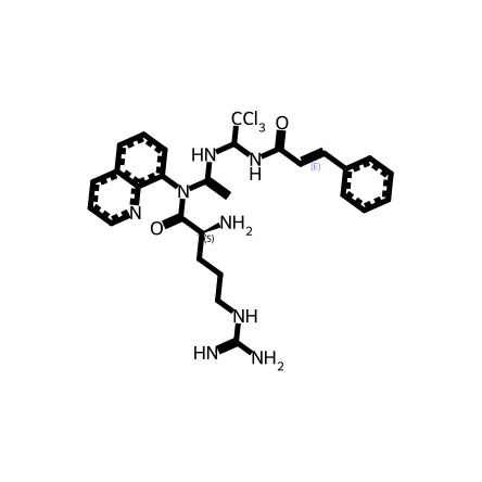 C=C(NC(NC(=O)/C=C/c1ccccc1)C(Cl)(Cl)Cl)N(C(=O)[C@@H](N)CCCNC(=N)N)c1cccc2cccnc12